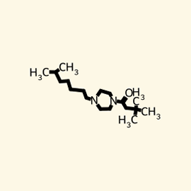 CC(C)CCCCCN1CCN(C(=O)CC(C)(C)C)CC1